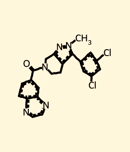 Cn1nc2c(c1-c1cc(Cl)cc(Cl)c1)CCN(C(=O)c1ccc3nccnc3c1)C2